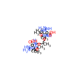 CCC(CC)[C@@H](NC(C)=O)[C@@H]1[C@H](NCCOCCC(C)CCOCCN[C@H]2[C@@H]([C@H](NC(C)=O)C(CC)CC)[C@H](NC(=N)N)C[C@@H]2C(=O)O)[C@@H](C(=O)O)C[C@H]1NC(=N)N